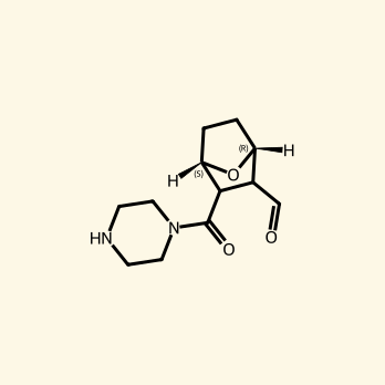 O=CC1C(C(=O)N2CCNCC2)[C@@H]2CC[C@H]1O2